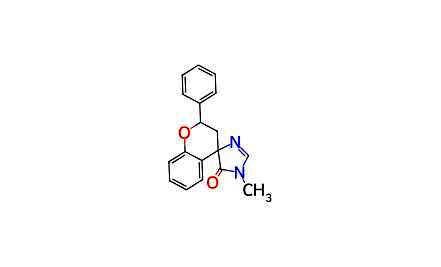 CN1C=NC2(CC(c3ccccc3)Oc3ccccc32)C1=O